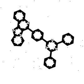 c1ccc(-c2nc(-c3ccccc3)nc(-c3ccc(-c4nc5ccccc5c5nc6ccccn6c45)cc3)n2)cc1